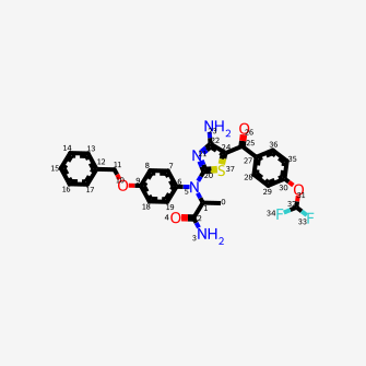 CC(C(N)=O)N(c1ccc(OCc2ccccc2)cc1)c1nc(N)c(C(=O)c2ccc(OC(F)F)cc2)s1